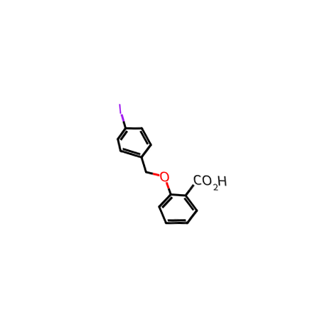 O=C(O)c1ccccc1OCc1ccc(I)cc1